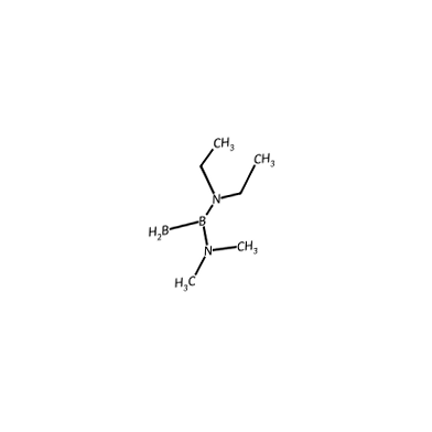 BB(N(C)C)N(CC)CC